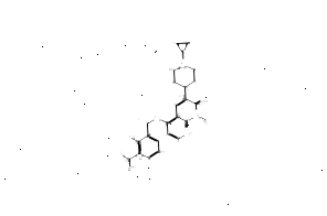 C[C@@H](Nc1ccnc2c1cc(C1CCN(C3CC3)CC1)c(=O)n2C)c1cccc(C(F)F)c1F